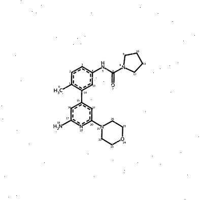 Cc1ccc(NC(=O)N2CCCC2)cc1-c1cc(N)nc(N2CCOCC2)c1